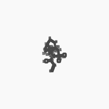 C=CC(=O)N1C2CC3CC[C@]2(CS1(=O)=O)C3(C)C